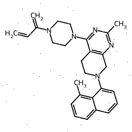 C=CC(=C)N1CCN(c2nc(C)nc3c2CCN(c2cccc4cccc(C)c24)C3)CC1